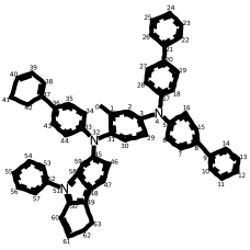 Cc1cc(N(c2ccc(-c3ccccc3)cc2)c2ccc(-c3ccccc3)cc2)ccc1N(c1ccc(C2=CC=CCC2)cc1)c1ccc2c3c(n(-c4ccccc4)c2c1)C=CCC3